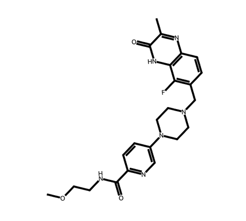 COCCNC(=O)c1ccc(N2CCN(Cc3ccc4nc(C)c(=O)[nH]c4c3F)CC2)cn1